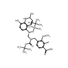 COc1c(CN(C[C@H](O[Si](C)(C)C(C)(C)C)c2ccc(O)c3c2C=CC(O)N3)C(=O)OC(C)(C)C)ccc(C(=O)O)c1F